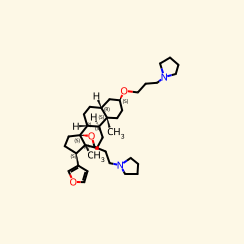 C[C@]12CC[C@H](OCCCN3CCCC3)C[C@H]1CC[C@@H]1[C@@H]2CC[C@]2(C)[C@@H](c3ccoc3)CC[C@]12OCCCN1CCCC1